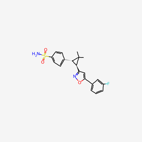 CC1(C)[C@@H](c2ccc(S(N)(=O)=O)cc2)[C@@H]1c1cc(-c2cccc(F)c2)on1